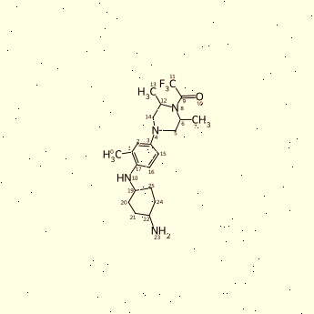 Cc1cc(N2CC(C)N(C(=O)C(F)(F)F)C(C)C2)ccc1NC1CCC(N)CC1